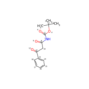 CC(C)(C)OC(=O)NC(=O)CC(=O)c1ccccc1